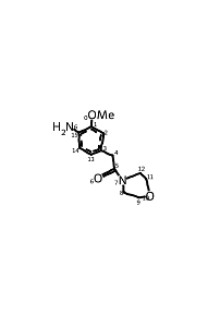 COc1cc(CC(=O)N2CCOCC2)ccc1N